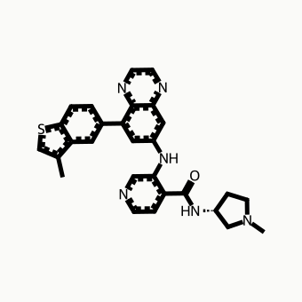 Cc1csc2ccc(-c3cc(Nc4cnccc4C(=O)N[C@@H]4CCN(C)C4)cc4nccnc34)cc12